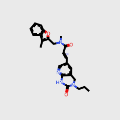 CCCN1Cc2cc(/C=C/C(=O)N(C)Cc3oc4ccccc4c3C)cnc2NC1=O